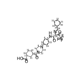 O=C(Nc1ccc(N2CCN(C(=O)C3CCCC(C(=O)O)C3)CC2)cc1)c1nc(-c2ccccc2)oc1C(F)(F)F